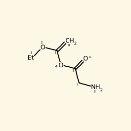 C=C(OCC)OC(=O)CN